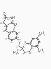 Cc1cc(C)c2c(c1)OC(C)(COc1ccc(C=C3SC(=O)NC3=O)cc1)CC2